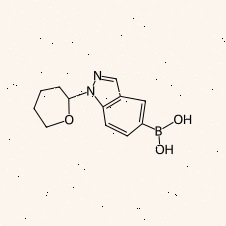 OB(O)c1ccc2c(cnn2C2CCCCO2)c1